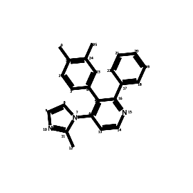 Cc1ccc(-c2c(-n3ccnc3C)ccnc2-c2ccccc2)cc1C